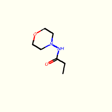 CCC(=O)NN1CCOCC1